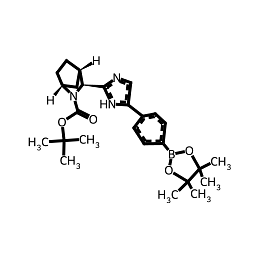 CC(C)(C)OC(=O)N1[C@@H]2CC[C@@H](C2)[C@H]1c1ncc(-c2ccc(B3OC(C)(C)C(C)(C)O3)cc2)[nH]1